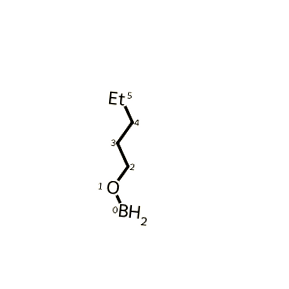 BOCCCCC